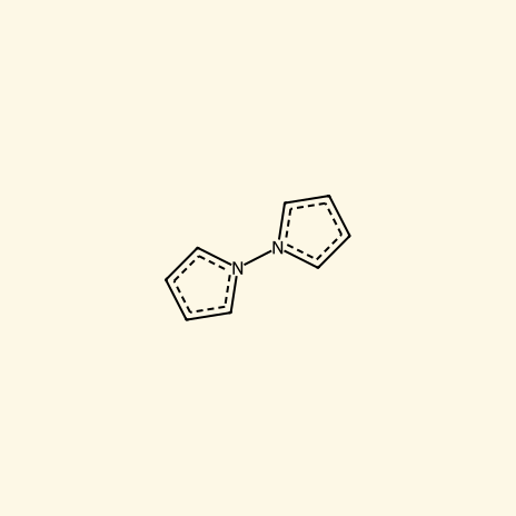 c1ccn(-n2cccc2)c1